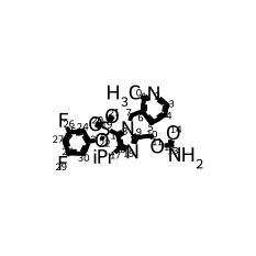 Cc1ncccc1Cn1c(COC(N)=O)nc(C(C)C)c1S(=O)(=O)Oc1cc(F)cc(F)c1